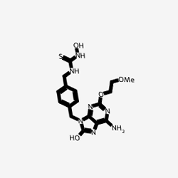 COCCOc1nc(N)c2nc(O)n(Cc3ccc(CNC(=S)NO)cc3)c2n1